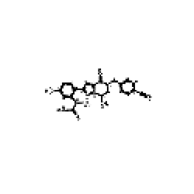 C#Cc1ccc(CN2CC(C)n3nc(-c4ccc(C)cc4N(C)C(=O)NC)cc3C2=O)cc1